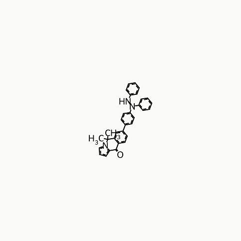 CC1(C)c2cc(-c3ccc(N(Nc4ccccc4)c4ccccc4)cc3)ccc2C(=O)c2cccn21